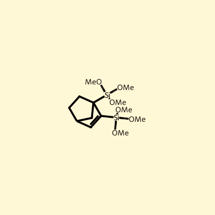 CO[Si](OC)(OC)C1=CC2CCC1([Si](OC)(OC)OC)C2